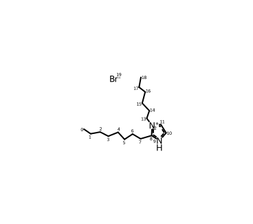 CCCCCCCCc1[nH]cc[n+]1CCCCCC.[Br-]